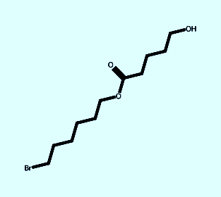 O=C(CCCCO)OCCCCCCBr